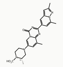 Cc1cc2cc(-c3nc(=O)n4cc(N5CCN(C(=O)O)[C@@H](C)C5)cc(C)c4n3)cc(C)n2n1